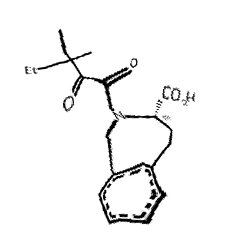 CCC(C)(C)C(=O)C(=O)N1Cc2ccccc2C[C@H]1C(=O)O